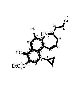 CCOC(=O)c1cn(C2CC2)c2c3c(c(F)cc2c1=O)N[C@@H](CCC(C)=O)CC=C3